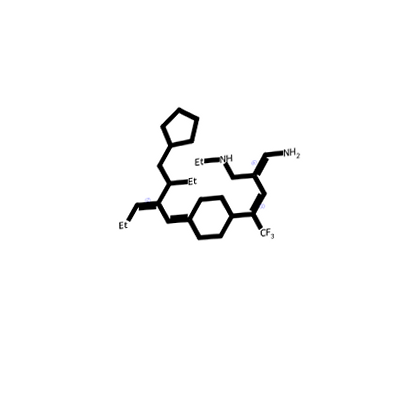 CC/C=C(\C=C1CCC(/C(=C\C(=C/N)CNCC)C(F)(F)F)CC1)C(CC)CC1CCCC1